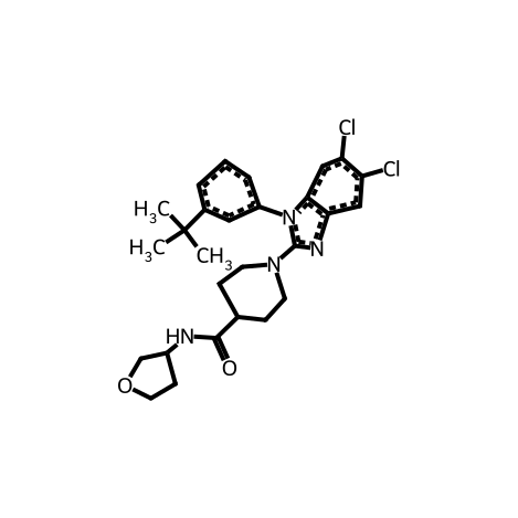 CC(C)(C)c1cccc(-n2c(N3CCC(C(=O)NC4CCOC4)CC3)nc3cc(Cl)c(Cl)cc32)c1